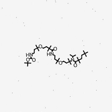 CC(C)N(C(=O)C(C)(C)CCC(C)(C)C)C(C)(C)CCOC(C)(C)CCNC(=O)C(C)(C)CCOC(C)(C)CCNC(=O)OC(C)(C)C